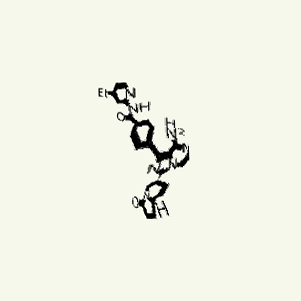 CCc1ccnc(NC(=O)c2ccc(-c3nc([C@@H]4CC[C@H]5CCC(=O)N5C4)n4ccnc(N)c34)cc2)c1